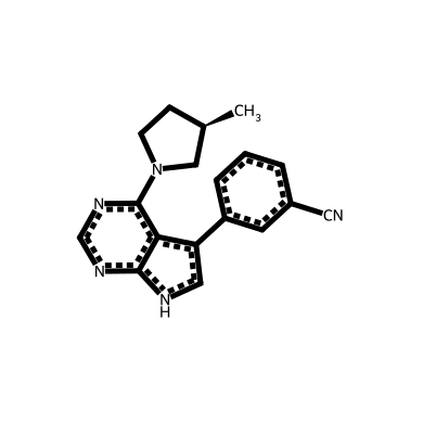 C[C@@H]1CCN(c2ncnc3[nH]cc(-c4cccc(C#N)c4)c23)C1